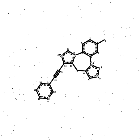 Cc1ccc2c(c1)-n1nncc1Cc1c(C#Cc3cccnc3)ncn1-2